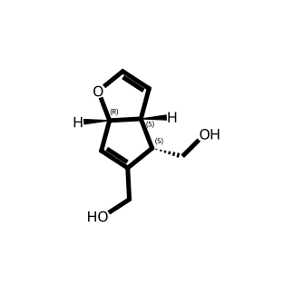 OCC1=C[C@@H]2OC=C[C@@H]2[C@@H]1CO